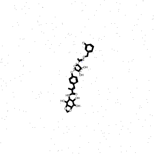 C/C(=C\c1ccc(O[C@@H]2O[C@H](/C(C)=N/OCc3cccc(Cl)c3)[C@H](O)[C@@H]2O)cc1)C(=O)NC1C(O)C(O)C2OCOC2C1O